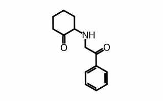 O=C(CNC1CCCCC1=O)c1ccccc1